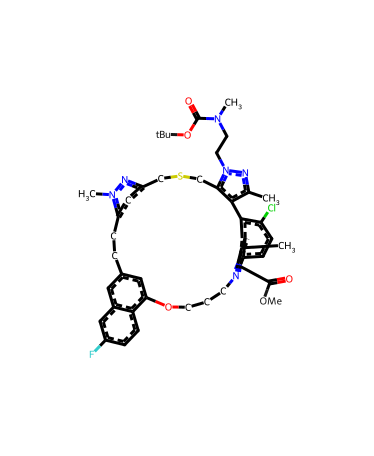 COC(=O)c1c(C)c2c3c(Cl)ccc2n1CCCOc1cc(cc2cc(F)ccc12)CCc1cc(nn1C)CSCc1c-3c(C)nn1CCN(C)C(=O)OC(C)(C)C